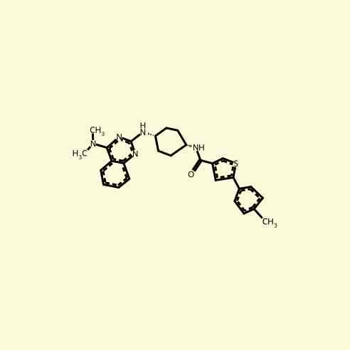 Cc1ccc(-c2cc(C(=O)N[C@H]3CC[C@@H](Nc4nc(N(C)C)c5ccccc5n4)CC3)cs2)cc1